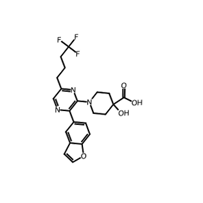 O=C(O)C1(O)CCN(c2nc(CCCC(F)(F)F)cnc2-c2ccc3occc3c2)CC1